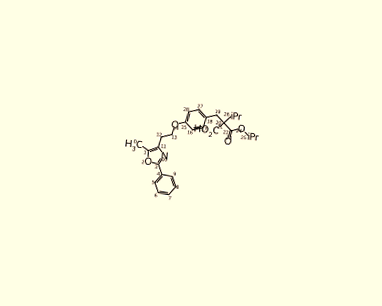 Cc1oc(-c2ccccc2)nc1CCOc1ccc(CC(C(=O)O)(C(=O)OC(C)C)C(C)C)cc1